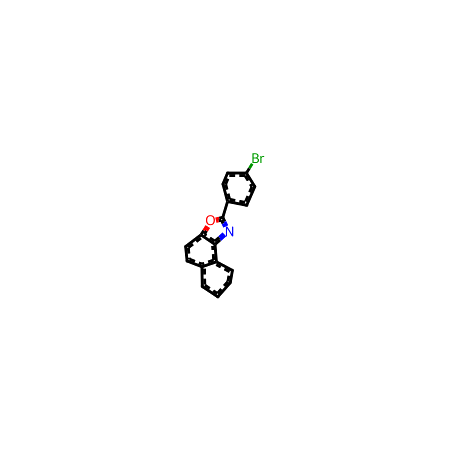 Brc1ccc(-c2nc3c(ccc4ccccc43)o2)cc1